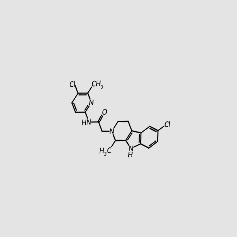 Cc1nc(NC(=O)CN2CCc3c([nH]c4ccc(Cl)cc34)C2C)ccc1Cl